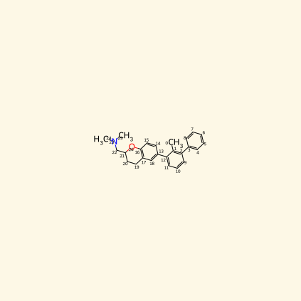 Cc1c(-c2ccccc2)cccc1-c1ccc2c(c1)CCC(CN(C)C)O2